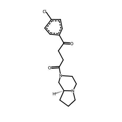 O=C(CCC(=O)N1CCN2CCC[C@H]2C1)c1ccc(Cl)cc1